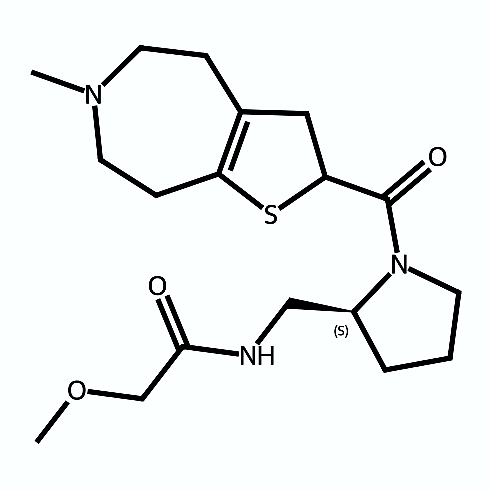 COCC(=O)NC[C@@H]1CCCN1C(=O)C1CC2=C(CCN(C)CC2)S1